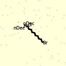 CCCCCCCCCCN(CCCCCCCCCC)C(=O)CCCCCCCCCBr